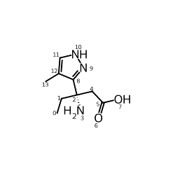 CC[C@](N)(CC(=O)O)c1n[nH]cc1C